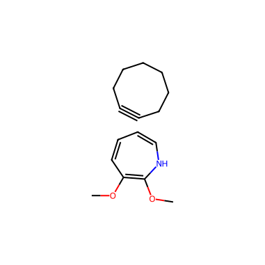 C1#CCCCCCC1.COC1=C(OC)NC=CC=C1